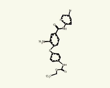 Nc1cc(C(=O)Nc2ccc(Br)cn2)ccc1Sc1ccc(NC(=O)OCC(Cl)(Cl)Cl)cc1